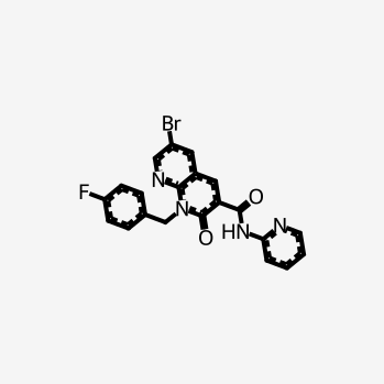 O=C(Nc1ccccn1)c1cc2cc(Br)cnc2n(Cc2ccc(F)cc2)c1=O